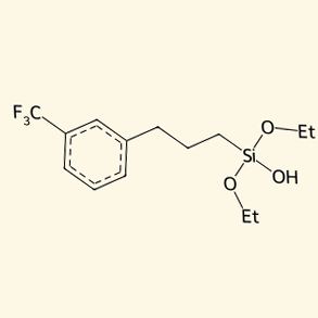 CCO[Si](O)(CCCc1cccc(C(F)(F)F)c1)OCC